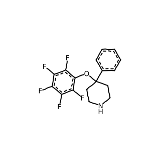 Fc1c(F)c(F)c(OC2(c3ccccc3)CCNCC2)c(F)c1F